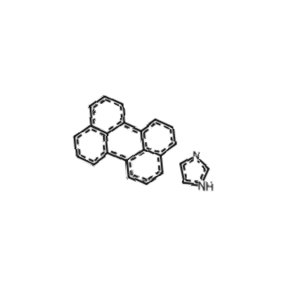 c1c[nH]cn1.c1cc2cccc3c4cccc5cccc(c(c1)c23)c54